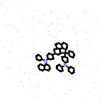 c1ccc(N(c2ccccc2)c2ccc(C3(c4ccccc4)c4cccc5ccc6cc(-c7ccc(N(c8ccccc8)c8cccc9ccccc89)cc7)cc3c6c45)cc2)cc1